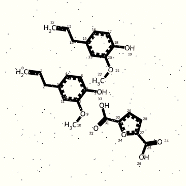 C=CCc1ccc(O)c(OC)c1.C=CCc1ccc(O)c(OC)c1.O=C(O)c1ccc(C(=O)O)o1